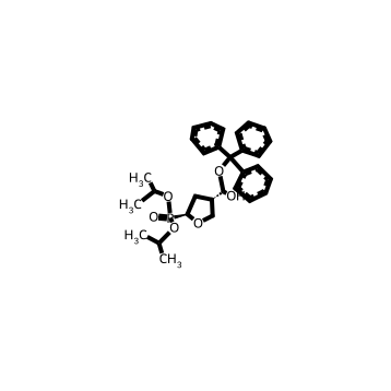 CC(C)OP(=O)(OC(C)C)[C@H]1C[C@H](C(O)OC(c2ccccc2)(c2ccccc2)c2ccccc2)CO1